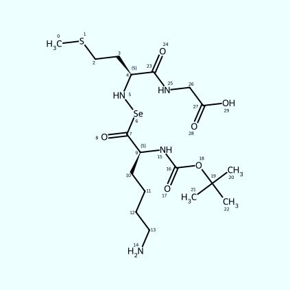 CSCC[C@H](N[Se]C(=O)[C@H](CCCCN)NC(=O)OC(C)(C)C)C(=O)NCC(=O)O